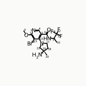 COc1ncc(C(=O)NC(C)C(F)(F)F)c(N2CC[C@](C)(N)C2)c1Br